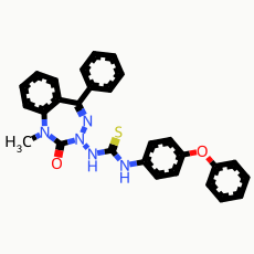 CN1C(=O)N(NC(=S)Nc2ccc(Oc3ccccc3)cc2)N=C(c2ccccc2)c2ccccc21